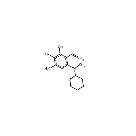 C=Cc1c(N(C)C2CCCCO2)cc(C)c(Cl)c1O